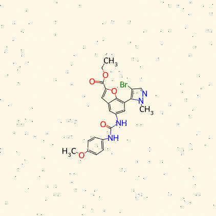 CCOC(=O)c1cc2cc(NC(=O)Nc3ccc(OC)cc3)cc(-c3c(Br)cnn3C)c2o1